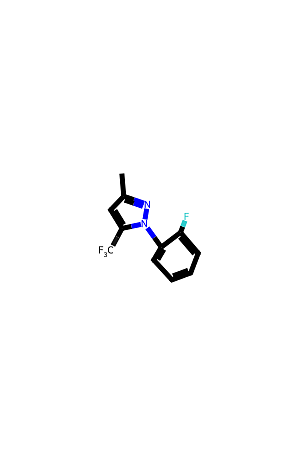 Cc1cc(C(F)(F)F)n(-c2ccccc2F)n1